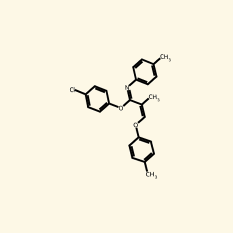 CC(=COc1ccc(C)cc1)C(=Nc1ccc(C)cc1)Oc1ccc(Cl)cc1